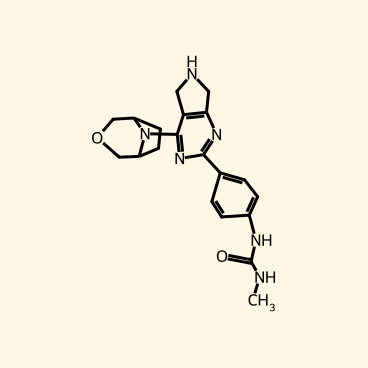 CNC(=O)Nc1ccc(-c2nc3c(c(N4C5CCC4COC5)n2)CNC3)cc1